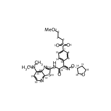 COCCCS(=O)(=O)c1ccc(/C(=N\O[C@@H]2CCOC2)C(=O)Nc2nc3c(N(C)C)ccnc3s2)cc1